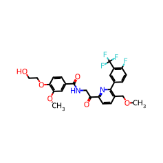 COCc1ccc(C(=O)CNC(=O)c2ccc(OCCO)c(OC)c2)nc1-c1ccc(F)c(C(F)(F)F)c1